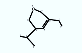 CCC1=CC(C(C)C)COC1